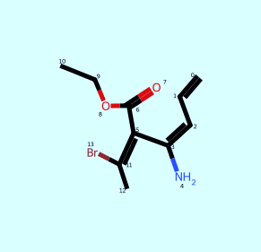 C=C/C=C(N)\C(C(=O)OCC)=C(/C)Br